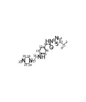 CC(C)c1cnc(NC(=O)Cc2ccc(NCCN3CCN(C)CC3)cc2)s1